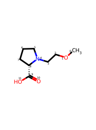 COCCN1CCC[C@H]1C(=O)O